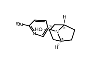 CCC(C)c1ccc(N2[C@@H]3CC[C@H]2C[C@H](O)C3)cn1